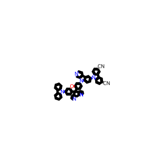 N#Cc1ccc2c(c1)c1cc(C#N)ccc1n2-c1ccc2c(c1)c1ccncc1n2-c1ccc2c(c1)Oc1cc(-n3c4ccccc4c4ccccc43)ccc1C21c2cccnc2-c2ncccc21